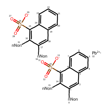 CCCCCCCCCc1cc2ccccc2c(S(=O)(=O)[O-])c1CCCCCCCCC.CCCCCCCCCc1cc2ccccc2c(S(=O)(=O)[O-])c1CCCCCCCCC.[Pb+2]